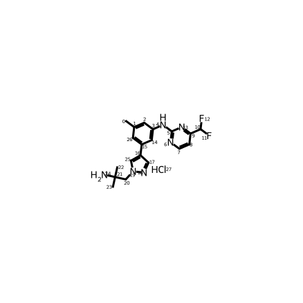 Cc1cc(Nc2nccc(C(F)F)n2)cc(-c2cnn(CC(C)(C)N)c2)c1.Cl